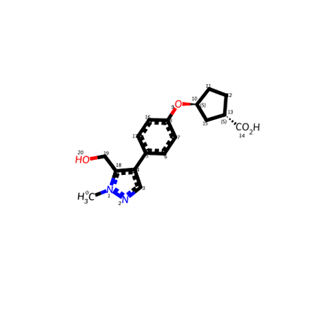 Cn1ncc(-c2ccc(O[C@H]3CC[C@H](C(=O)O)C3)cc2)c1CO